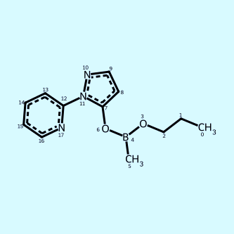 CCCOB(C)Oc1ccnn1-c1ccccn1